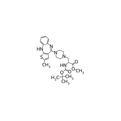 COC(=O)C(CN1CCN(C2=Nc3ccccc3Nc3sc(C)cc32)CC1)NC(=O)OC(C)(C)C